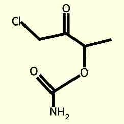 CC(OC(N)=O)C(=O)CCl